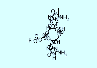 CC(C)OC(=O)OCSP1(=O)OC[C@H]2O[C@@H](n3cnc4c(=O)[nH]c(N)nc43)C(F)C2OP(=O)(S)OC[C@H]2O[C@@H](n3cnc4c(=O)[nH]c(N)nc43)C(O1)C2O